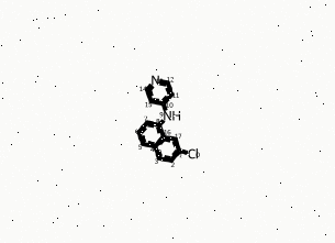 Clc1ccc2cccc(Nc3ccncc3)c2c1